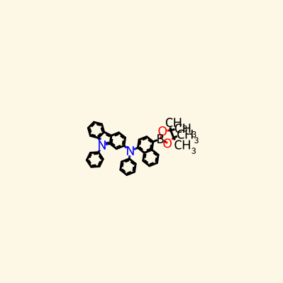 CC1(C)OB(c2ccc(N(c3ccccc3)c3ccc4c5ccccc5n(-c5ccccc5)c4c3)c3ccccc23)OC1(C)C